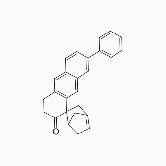 O=C1CCc2cc3ccc(-c4ccccc4)cc3cc2C12CC1=CCC2C1